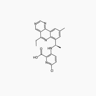 CCc1nc2c([C@@H](C)Nc3ccc(Cl)nc3C(=O)O)cc(C)cc2c2ncncc12